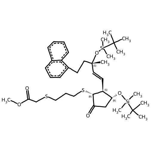 COC(=O)CSCCCS[C@H]1C(=O)C[C@@H](O[Si](C)(C)C(C)(C)C)[C@@H]1C=C[C@](C)(CCc1cccc2ccccc12)O[Si](C)(C)C(C)(C)C